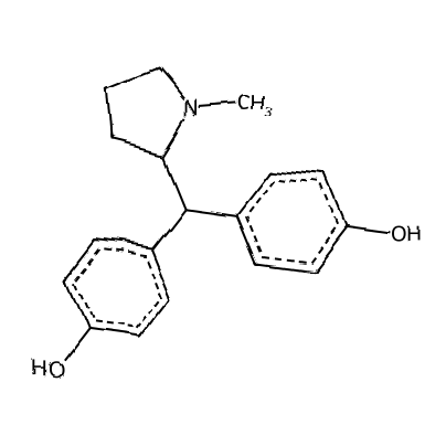 CN1CCCC1C(c1ccc(O)cc1)c1ccc(O)cc1